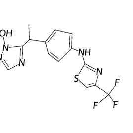 CC(c1ccc(Nc2nc(C(F)(F)F)cs2)cc1)c1ncnn1O